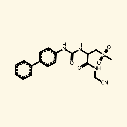 CS(=O)(=O)CC(NC(=O)Nc1ccc(-c2ccccc2)cc1)C(=O)NCC#N